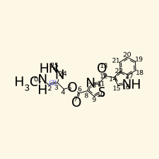 CN/C=C(/COC(=O)c1csc(C(=O)c2c[nH]c3ccccc23)n1)N=N